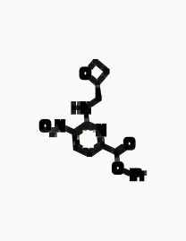 CC(C)OC(=O)c1ccc([N+](=O)[O-])c(NC[C@@H]2CCO2)n1